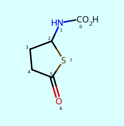 O=C(O)NC1CCC(=O)S1